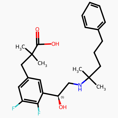 CC(C)(CCCc1ccccc1)NC[C@@H](O)c1cc(CC(C)(C)C(=O)O)cc(F)c1F